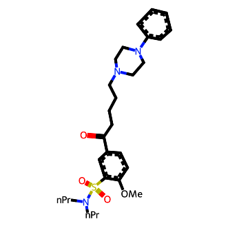 CCCN(CCC)S(=O)(=O)c1cc(C(=O)CCCCN2CCN(c3ccccc3)CC2)ccc1OC